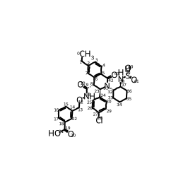 CCc1ccc2c(c1)[C@@H](C(=O)NOCc1cccc(C(=O)O)c1)[C@H](c1ccc(Cl)cc1)N([C@H]1CCCC[C@@H]1N[SH](=O)=O)C2=O